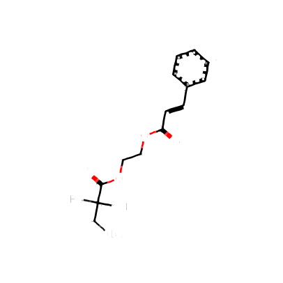 CC(C)(C)CC(C)(C(=O)OCCOC(=O)/C=C/c1ccccc1)C(C)(C)C